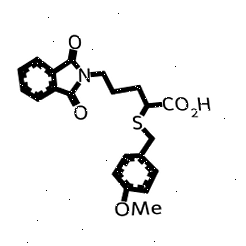 COc1ccc(CSC(CCCN2C(=O)c3ccccc3C2=O)C(=O)O)cc1